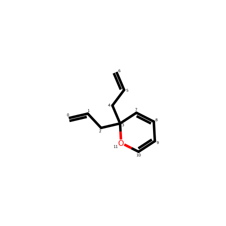 C=CCC1(CC=C)C=CC=CO1